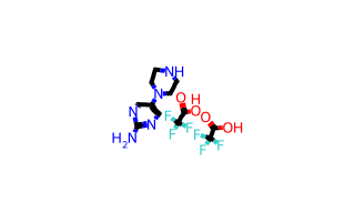 Nc1ncc(N2CCNCC2)cn1.O=C(O)C(F)(F)F.O=C(O)C(F)(F)F